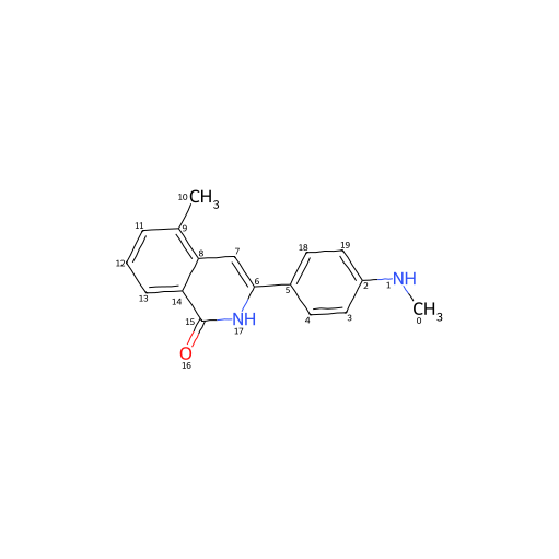 CNc1ccc(-c2cc3c(C)cccc3c(=O)[nH]2)cc1